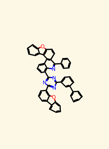 c1ccc(-c2cccc(-c3nc(-c4cccc5c4nc(-c4ccccc4)c4ccc6oc7ccccc7c6c45)nc(-c4cccc5c4oc4ccccc45)n3)c2)cc1